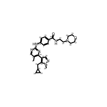 Cc1cnc(Nc2ccc(C(=O)NCCN3CCOCC3)cc2)nc1-c1cnn(C)c1CC1CC1